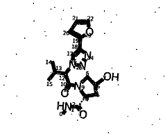 CNC(=O)[C@H]1CC(O)CN1C(=O)C(C(C)C)n1cc(-c2ccco2)nn1